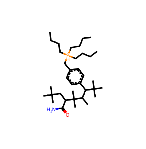 CCCC[PH](CCCC)(CCCC)Cc1ccc(C(C(C)C(C)(C)C(CC(C)(C)C)C(N)=O)C(C)(C)C)cc1